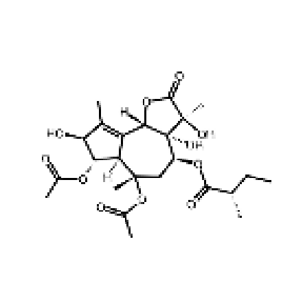 CC[C@H](C)C(=O)O[C@H]1C[C@](C)(OC(C)=O)[C@@H]2C(=C(C)[C@H](O)[C@H]2OC(C)=O)[C@@H]2OC(=O)[C@@](C)(O)[C@@]12O